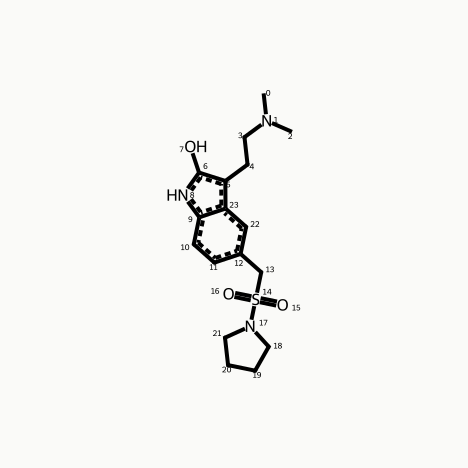 CN(C)CCc1c(O)[nH]c2ccc(CS(=O)(=O)N3CCCC3)cc12